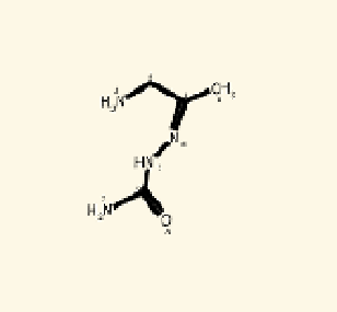 CC(CN)=NNC(N)=O